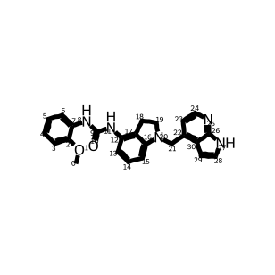 COc1ccccc1NC(=O)Nc1cccc2c1CCN2Cc1ccnc2[nH]ccc12